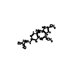 CCC(=O)NCc1ccc2c(c1)N=C(C)c1cc(C)sc1N2